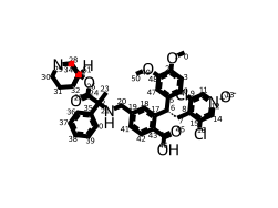 COc1ccc([C@H](Cc2c(Cl)c[n+]([O-])cc2Cl)c2cc(CNC(C)(C(=O)O[C@H]3CN4CCC3CC4)c3ccccc3)ccc2C(=O)O)cc1OC